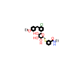 CCNC(=O)c1cccc(SC[C@H]2O[C@@H](c3ccc(Cl)c(Cc4ccc(OCC)cc4)c3)[C@H](O)[C@@H](O)[C@@H]2O)c1